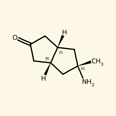 C[C@]1(N)C[C@H]2CC(=O)C[C@H]2C1